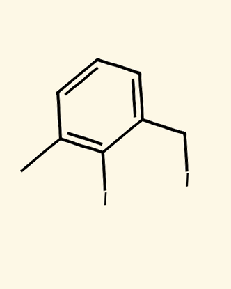 Cc1cccc(CI)c1I